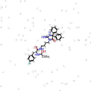 COC(O)N[C@@H](Cc1ccc(F)cc1)C(=O)NCCCCN1C(=N)NC(c2ccccc2)(c2ccccc2)C1=O